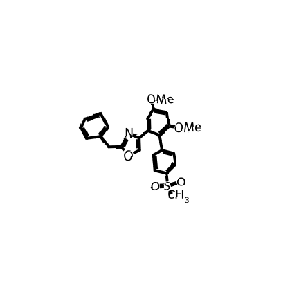 COc1cc(OC)c(-c2ccc(S(C)(=O)=O)cc2)c(-c2coc(Cc3ccccc3)n2)c1